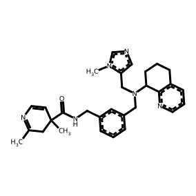 CC1=NC=CC(C)(C(=O)NCc2cccc(CN(Cc3cncn3C)C3CCCc4cccnc43)c2)C1